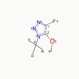 COc1c(F)nnn1C(C)(C)C